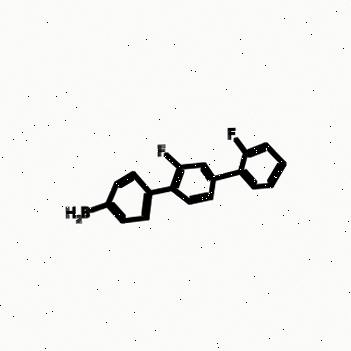 Bc1ccc(-c2ccc(-c3ccccc3F)cc2F)cc1